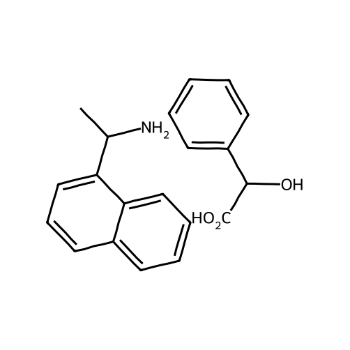 CC(N)c1cccc2ccccc12.O=C(O)C(O)c1ccccc1